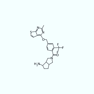 Cc1nc(OCc2ccc(C(=O)N3CC4CCC(N)C4C3)c(C(F)(F)F)c2)c2ccsc2n1